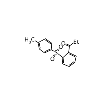 CCC(=O)c1ccccc1S(=O)(=O)c1ccc(C)cc1